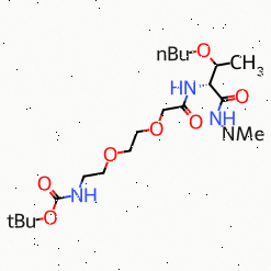 CCCCOC(C)[C@@H](NC(=O)COCCOCCNC(=O)OC(C)(C)C)C(=O)NNC